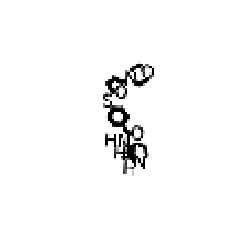 C[C@H]1[C@H](NC(=O)c2ccc(Sc3ccc(N4CCOCC4)o3)cc2)C2CCN1CC2